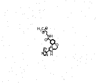 CC(C)n1ncnc1C1=CN2C(=CCOc3ccc(C(=O)NCCS(C)(=O)=O)cc32)N1